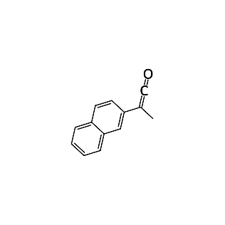 CC(=C=O)c1ccc2ccccc2c1